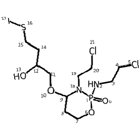 O=P1(NCCCl)OCCC(OCC(O)CCSI)N1CCCl